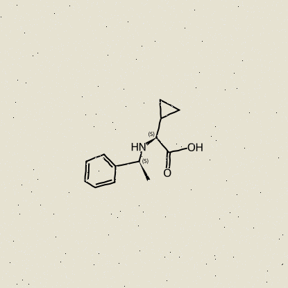 C[C@H](N[C@H](C(=O)O)C1CC1)c1ccccc1